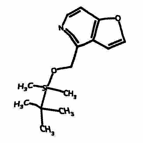 CC(C)(C)[Si](C)(C)OCc1nccc2occc12